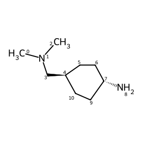 CN(C)C[C@H]1CC[C@H](N)CC1